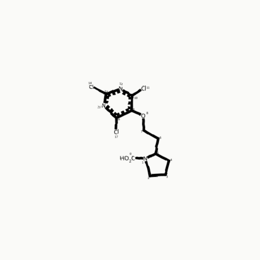 O=C(O)N1CCCC1CCOc1c(Cl)nc(Cl)nc1Cl